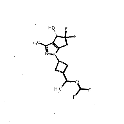 CC(OC(F)F)C1CC(n2nc(C(F)(F)F)c3c2CC(F)(F)[C@H]3O)C1